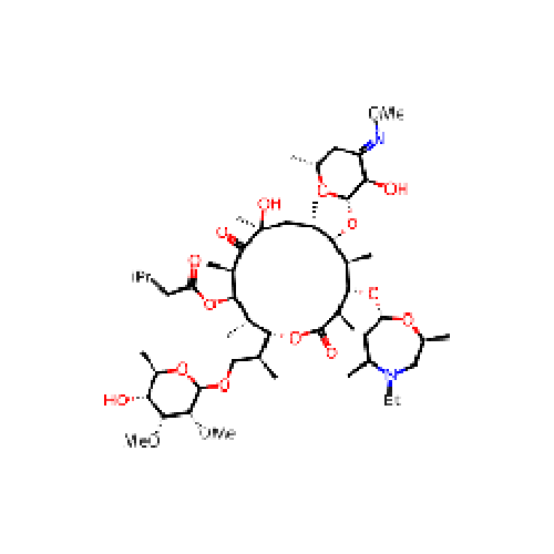 CCN1C[C@H](C)O[C@@H](O[C@H]2[C@H](C)[C@@H](O[C@@H]3O[C@H](C)C/C(=N\OC)[C@H]3O)[C@@H](C)C[C@](C)(O)C(=O)[C@H](C)[C@H](OC(=O)CC(C)C)[C@@H](C)[C@@H]([C@@H](C)CO[C@@H]3O[C@H](C)[C@@H](O)[C@@H](OC)[C@H]3OC)OC(=O)[C@@H]2C)CC1C